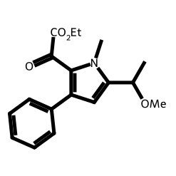 CCOC(=O)C(=O)c1c(-c2ccccc2)cc(C(C)OC)n1C